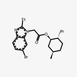 CCc1nc2ccc(Br)cc2n1CC(=O)O[C@@H]1C[C@H](C)CC[C@H]1C(C)C